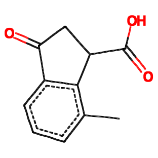 Cc1cccc2c1C(C(=O)O)CC2=O